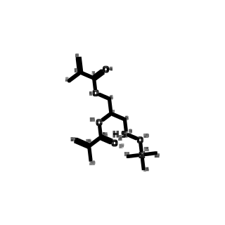 C=C(C)C(=O)OCC(C[SiH2]O[Si](C)(C)C)OC(=O)C(=C)C